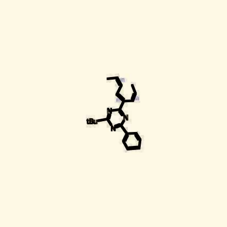 C\C=C/C=C(\C=C/C)c1nc(-c2ccccc2)nc(C(C)(C)C)n1